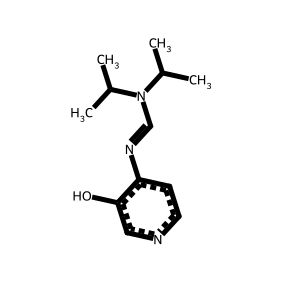 CC(C)N(C=Nc1ccncc1O)C(C)C